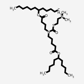 CCCCCCC(CCCCC)OC(=O)CCCN(CCCCC(=O)OC(CCCCC)CCCCC)C(=O)SCCN(C)C